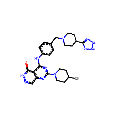 N#CC1CCN(c2nc(Nc3ccc(CN4CCC(C5=NNNN5)CC4)cc3)c3c(=O)[nH]ncc3n2)CC1